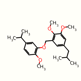 COc1ccc(C(C)C)cc1OCc1cc(CC(C)C)cc(OC)c1OC